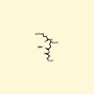 CCCCCCCCCCCCCC(=O)N[C@H](CCC(=O)OC(=O)CCC(=O)[O-])C(=O)[O-].[Na+].[Na+]